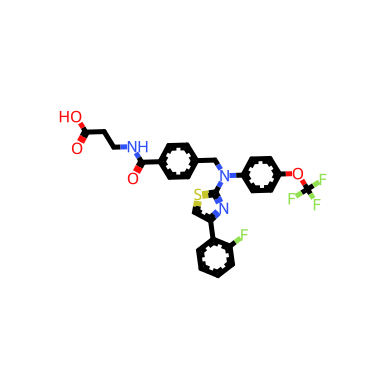 O=C(O)CCNC(=O)c1ccc(CN(c2ccc(OC(F)(F)F)cc2)c2nc(-c3ccccc3F)cs2)cc1